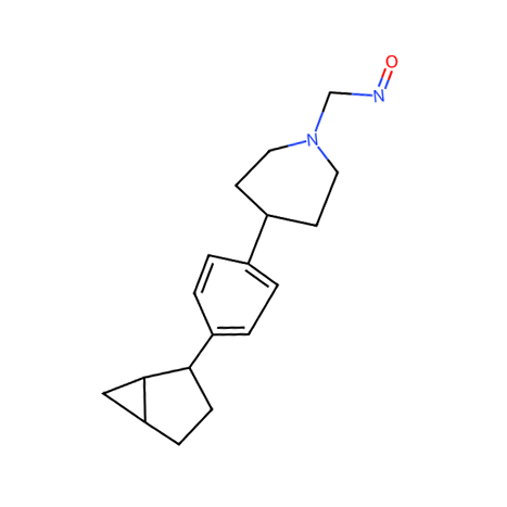 O=NCN1CCC(c2ccc(C3CCC4CC43)cc2)CC1